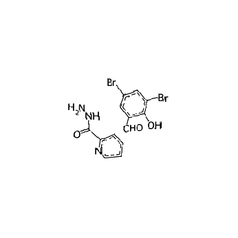 NNC(=O)c1ccccn1.O=Cc1cc(Br)cc(Br)c1O